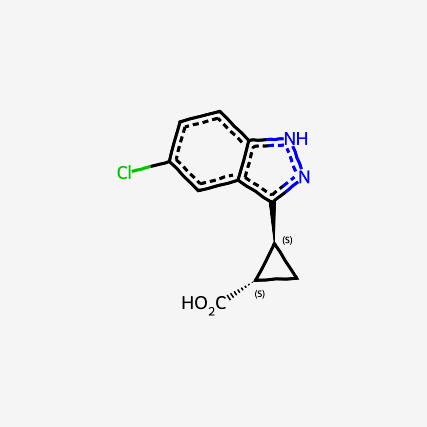 O=C(O)[C@H]1C[C@@H]1c1n[nH]c2ccc(Cl)cc12